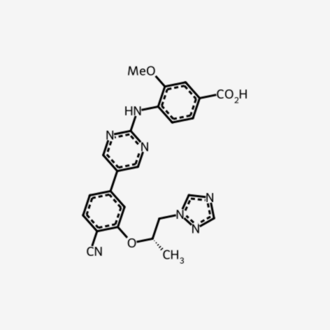 COc1cc(C(=O)O)ccc1Nc1ncc(-c2ccc(C#N)c(O[C@@H](C)Cn3cncn3)c2)cn1